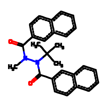 CN(C(=O)c1ccc2ccccc2c1)N(C(=O)c1ccc2ccccc2c1)C(C)(C)C